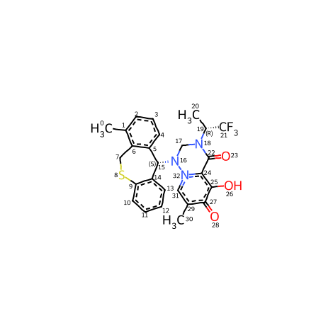 Cc1cccc2c1CSc1ccccc1[C@H]2N1CN([C@H](C)C(F)(F)F)C(=O)c2c(O)c(=O)c(C)cn21